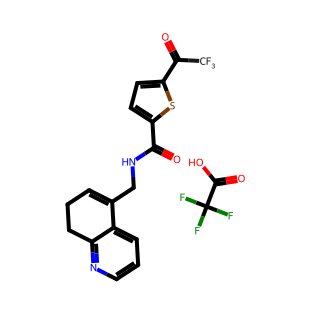 O=C(NCC1=CCCc2ncccc21)c1ccc(C(=O)C(F)(F)F)s1.O=C(O)C(F)(F)F